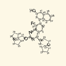 Oc1cc(-c2ncc3c(N4CCOC5(CCCC5)C4)nc(OCC45CCCN4CCC5)nc3c2F)c2ccccc2c1